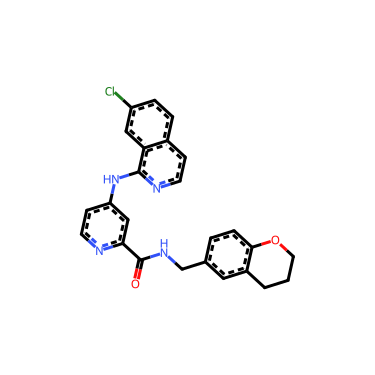 O=C(NCc1ccc2c(c1)CCCO2)c1cc(Nc2nccc3ccc(Cl)cc23)ccn1